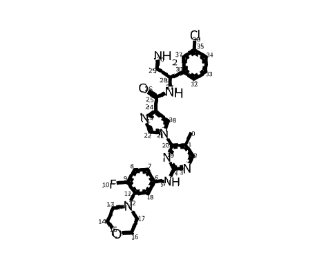 Cc1cnc(Nc2ccc(F)c(N3CCOCC3)c2)nc1-n1cnc(C(=O)NC(CN)c2cccc(Cl)c2)c1